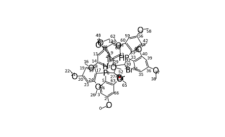 COc1ccc([PH](c2ccc(OC)cc2OC)(c2ccc(OC)cc2OC)C(Br)CC(Br)[PH](c2ccc(OC)cc2OC)(c2ccc(OC)cc2OC)c2ccc(OC)cc2OC)c(OC)c1